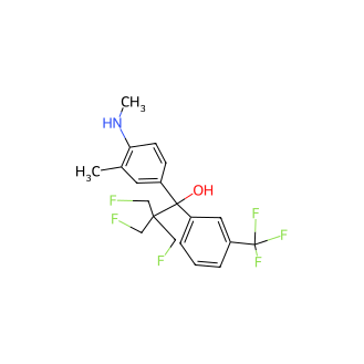 CNc1ccc(C(O)(c2cccc(C(F)(F)F)c2)C(CF)(CF)CF)cc1C